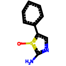 Nc1ncc(-c2ccccc2)[s+]1[O-]